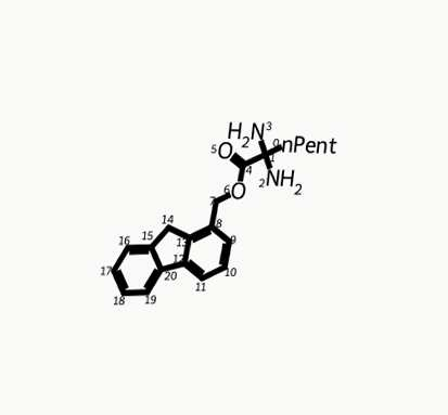 CCCCCC(N)(N)C(=O)OCc1cccc2c1Cc1ccccc1-2